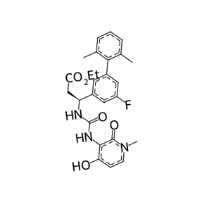 CCOC(=O)C[C@H](NC(=O)Nc1c(O)ccn(C)c1=O)c1cc(F)cc(-c2c(C)cccc2C)c1